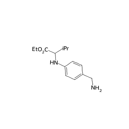 CCOC(=O)C(Nc1ccc(CN)cc1)C(C)C